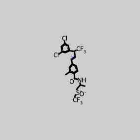 Cc1cc(/C=C/C(c2cc(Cl)cc(Cl)c2)C(F)(F)F)ccc1C(=O)NC(C)C[S+]([O-])CC(F)(F)F